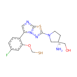 N[C@@]1(CO)CCN(c2nn3c(-c4ccc(F)cc4OCS)cnc3s2)C1